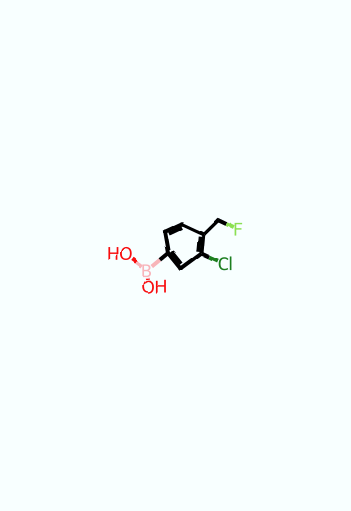 OB(O)c1ccc(CF)c(Cl)c1